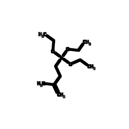 C=C(N)CC[Si](OCC)(OCC)OCC